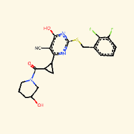 N#Cc1c(O)nc(SCc2cccc(F)c2F)nc1C1CC1C(=O)N1CCCC(O)C1